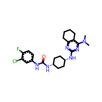 CN(C)c1nc(N[C@H]2CC[C@@H](NC(=O)Nc3ccc(F)c(Cl)c3)CC2)nc2c1CCCC2